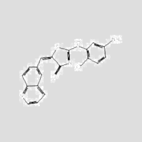 Nc1ccc(Cl)c(NC2=NC(=O)C(=Cc3ccc4ncccc4c3)S2)c1